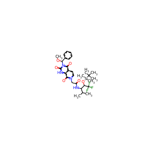 COC(c1ccccc1)n1c(=O)[nH]c2c(=O)n(CC(=O)NC(C(C)C)C(O[Si](C)(C)C(C)(C)C)C(F)(F)F)ccc2c1=O